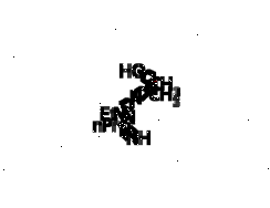 CCCC(c1nc2cc(N3CCC(c4cccc(O)c4)(N(C)C)CC3)ccc2n1CC)N1CCNCC1